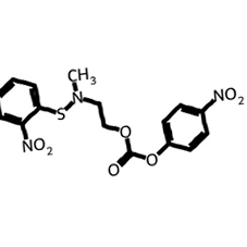 CN(CCOC(=O)Oc1ccc([N+](=O)[O-])cc1)Sc1ccccc1[N+](=O)[O-]